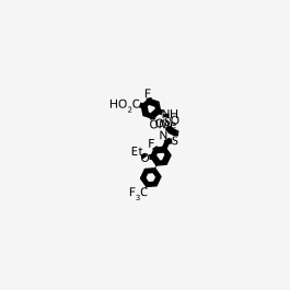 CCOc1c(F)c(-c2nc(S(=O)(=O)Nc3cc(F)c(C(=O)O)cc3OC)cs2)ccc1[C@H]1CC[C@@H](C(F)(F)F)CC1